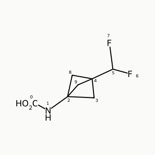 O=C(O)NC12CC(C(F)F)(C1)C2